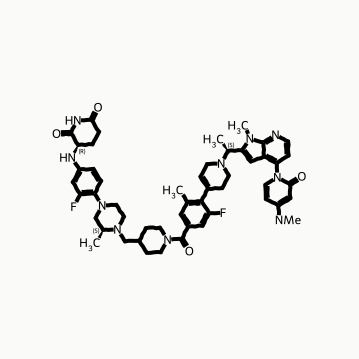 CNc1ccn(-c2ccnc3c2cc([C@H](C)N2CC=C(c4c(C)cc(C(=O)N5CCC(CN6CCN(c7ccc(N[C@@H]8CCC(=O)NC8=O)cc7F)C[C@@H]6C)CC5)cc4F)CC2)n3C)c(=O)c1